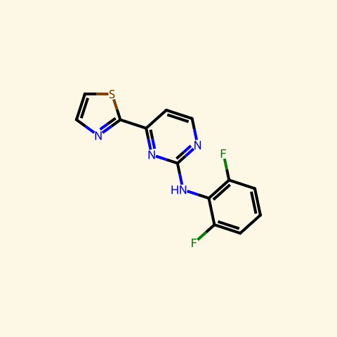 Fc1cccc(F)c1Nc1nccc(-c2nccs2)n1